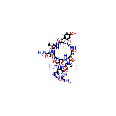 CCC(C)C1NC(=O)[C@H](Cc2ccc(O)cc2)NC(=O)CNC(=O)CC[C@@H](C(=O)N(C)CC(=O)N[C@@H](Cc2c[nH]cn2)C(=O)NCC(N)=O)NC(=O)C(CC(N)=O)NC(=O)[C@H](CCC(N)O)NC1=O